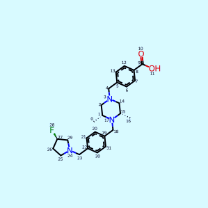 C[C@@H]1CN(Cc2ccc(C(=O)O)cc2)C[C@H](C)N1Cc1ccc(CN2CC[C@@H](F)C2)cc1